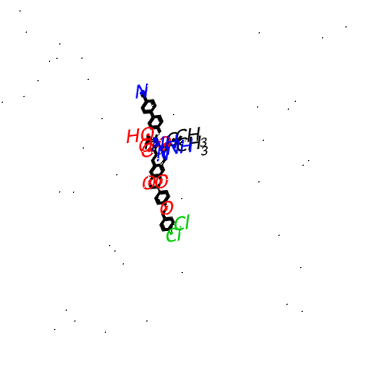 CC(C)(C)NC(=O)N1Cc2cc3c(cc2CC1C(=O)N[C@@H](Cc1ccc(-c2ccc(C#N)cc2)cc1)C(=O)O)OC[C@H](c1ccc(OCc2ccc(Cl)c(Cl)c2)cc1)O3